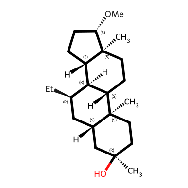 CC[C@@H]1C[C@H]2C[C@](C)(O)CC[C@]2(C)[C@H]2CC[C@]3(C)[C@@H](OC)CC[C@H]3[C@H]12